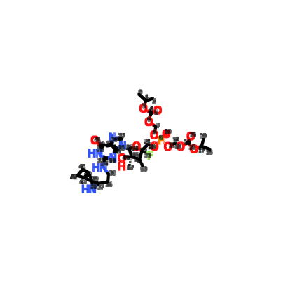 CC(C)OC(=O)OCOP(=O)(OCOC(=O)OC(C)C)OC[C@@]1(F)O[C@@H](n2cnc3c(=O)[nH]c(NCCC4NC45C4CCC45)nc32)[C@](C)(O)[C@@H]1C